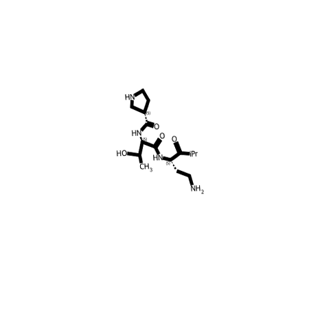 CC(C)C(=O)[C@H](CCN)NC(=O)[C@@H](NC(=O)[C@H]1CCNC1)C(C)O